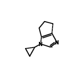 [c]1nc2c(n1C1CC1)CCC2